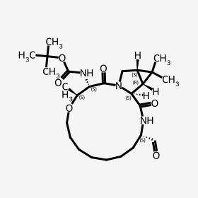 C[C@@H]1OCCCCCCC[C@@H](C=O)NC(=O)[C@@H]2[C@@H]3[C@H](CN2C(=O)[C@H]1NC(=O)OC(C)(C)C)C3(C)C